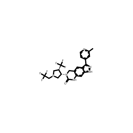 Cc1cc(-c2n[nH]c3cc4c(cc23)CN([C@@H]2CN(CC(F)(F)F)C[C@H]2C(F)(F)F)C(=O)N4)ccn1